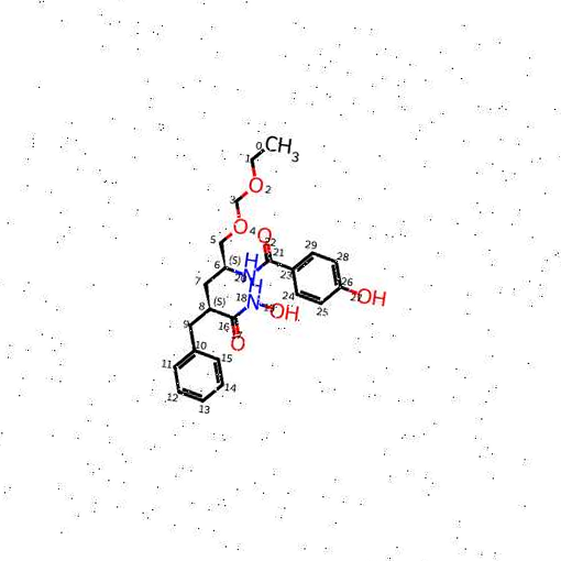 CCOCOC[C@H](C[C@H](Cc1ccccc1)C(=O)NO)NC(=O)c1ccc(O)cc1